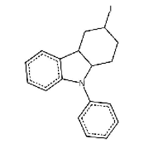 IC1CCC2C(C1)c1ccccc1N2c1ccccc1